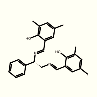 Oc1c(I)cc(I)cc1C=NC[C@@H](N=Cc1cc(I)cc(I)c1O)c1ccccc1